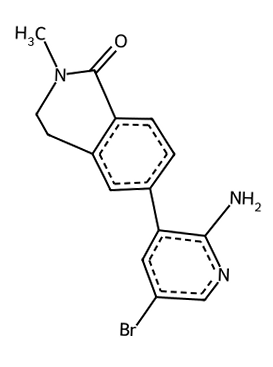 CN1CCc2cc(-c3cc(Br)cnc3N)ccc2C1=O